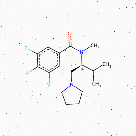 CC(C)[C@@H](CN1CCCC1)N(C)C(=O)c1cc(F)c(F)c(F)c1